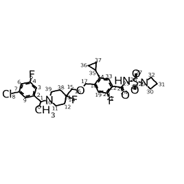 CC(c1cc(F)cc(Cl)c1)N1CCC(F)(COCc2cc(F)c(C(=O)NS(=O)(=O)N3CCC3)cc2C2CC2)CC1